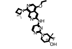 CCOc1cnc(N2CC[C@H]2C)c2cnc(Nc3ccnc(N4CC[C@@H](O)[C@@](C)(F)C4)n3)cc12